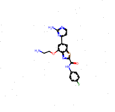 NCCOc1cc(-c2ccnc(N)n2)cc2sc(C(=O)Nc3ccc(F)cc3)nc12